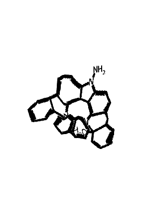 CC12C=CC=CC1c1ccc3c(c1N2C1C=CC=CC1)c1c(ccc2c4ccccc4n(-c4ccccc4)c21)n3N